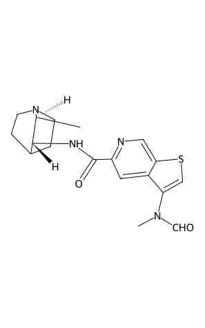 C[C@H]1[C@H](NC(=O)c2cc3c(N(C)C=O)csc3cn2)C2CCN1CC2